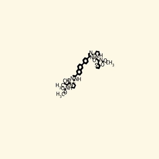 COC(=O)N[C@H](C(=O)N1CCC[C@H]1c1ncc(-c2ccc3cc(-c4ccc(-c5cnc([C@@H]6CCCN6C(=O)[C@H](NC(=O)OC)c6cccs6)[nH]5)cc4)ccc3c2)[nH]1)C(C)C